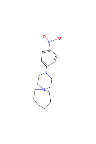 O=[N+]([O-])c1ccc(N2CC[N+]3(CCCCCC3)CC2)cc1